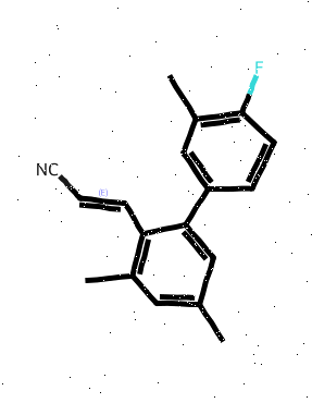 Cc1cc(C)c(/C=C/C#N)c(-c2ccc(F)c(C)c2)c1